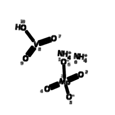 [NH4+].[NH4+].[O]=[Mo](=[O])([O-])[O-].[O]=[V](=[O])[OH]